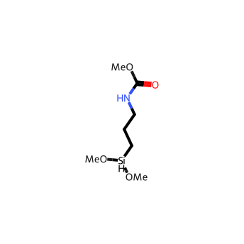 COC(=O)NCCC[SiH](OC)OC